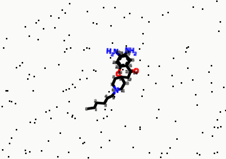 CCCCCCN1CCC2(CC1)CC(=O)c1cc(N)c(N)cc1O2